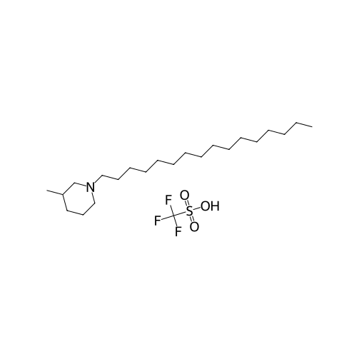 CCCCCCCCCCCCCCCCN1CCCC(C)C1.O=S(=O)(O)C(F)(F)F